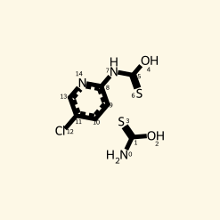 NC(O)=S.OC(=S)Nc1ccc(Cl)cn1